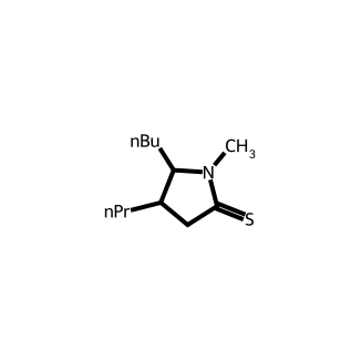 CCCCC1C(CCC)CC(=S)N1C